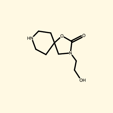 O=C1OC2(CCNCC2)CN1CCO